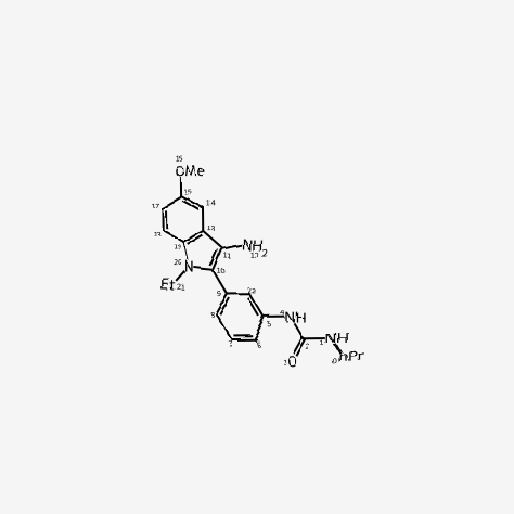 CCCNC(=O)Nc1cccc(-c2c(N)c3cc(OC)ccc3n2CC)c1